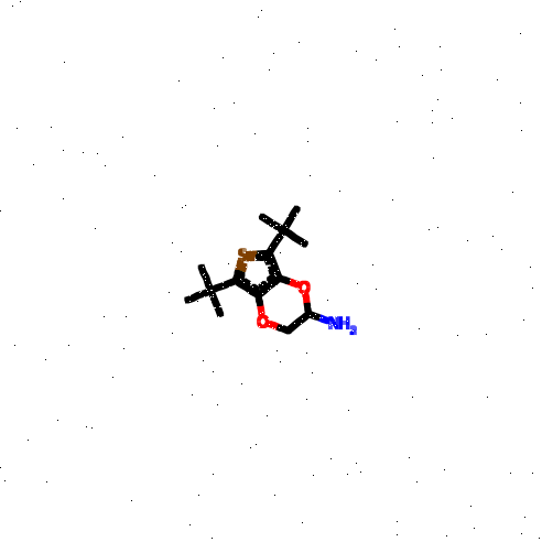 CC(C)(C)c1sc(C(C)(C)C)c2c1OCC(N)O2